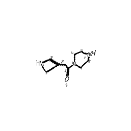 O=C(C1CNC1)N1CCNCC1